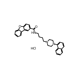 Cl.O=C(NCCCCN1CCN(c2cccc3ccccc23)CC1)c1ccc2oc3ccccc3c2c1